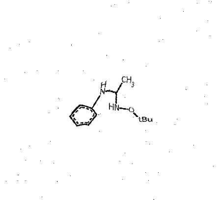 CC(NOC(C)(C)C)Nc1[c]cccc1